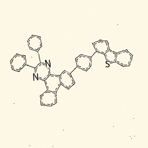 c1ccc(-c2nc3c4ccccc4c4ccc(-c5ccc(-c6cccc7c6sc6ccccc67)cc5)cc4c3nc2-c2ccccc2)cc1